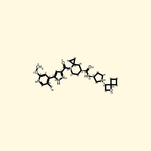 COc1cc(-c2cc(C(=O)N3CC[C@H](C(=O)N[C@H]4CCN([C@H]5COC56CCC6)C4)CC34CC4)n[nH]2)c(F)cn1